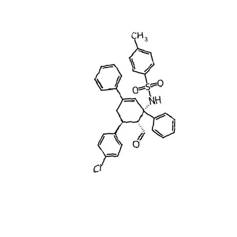 Cc1ccc(S(=O)(=O)N[C@@]2(c3ccccc3)C=C(c3ccccc3)C[C@H](c3ccc(Cl)cc3)[C@H]2C=O)cc1